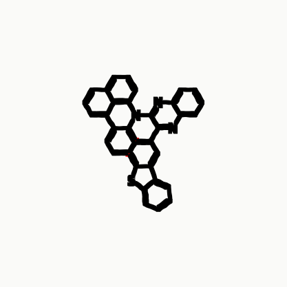 c1ccc2c(c1)-c1cccc3cccc(c13)N2c1nc2ccccc2nc1-c1ccc2sc3ccccc3c2c1